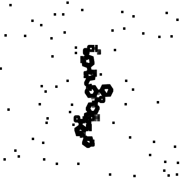 COc1ccc(-c2ncc(CN3CC[C@@H](C(=O)N4CCC(O)(Cn5cnc6c(ccn6-c6ccsc6)c5=O)CC4)[C@H](c4ccccc4)C3)s2)cn1